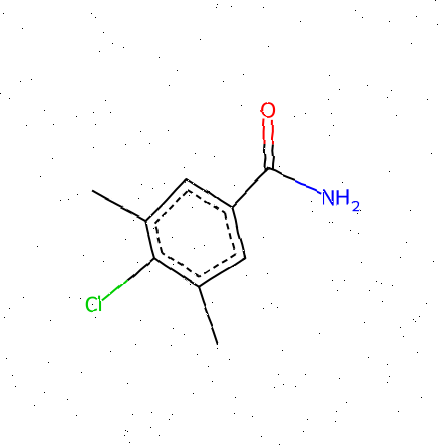 Cc1cc(C(N)=O)cc(C)c1Cl